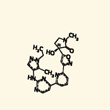 CCn1ncc(Nc2nccc(-c3cccc(-c4cc([C@]5(O)CCN(C)C5=O)on4)n3)n2)c1C